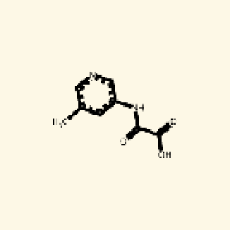 Cc1cncc(NC(=O)C(=O)O)c1